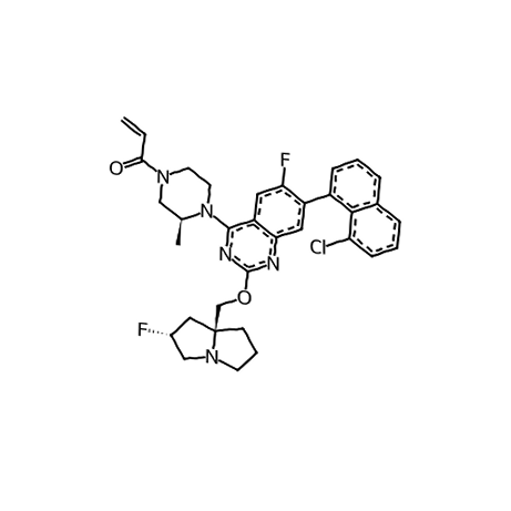 C=CC(=O)N1CCN(c2nc(OC[C@@]34CCCN3C[C@H](F)C4)nc3cc(-c4cccc5cccc(Cl)c45)c(F)cc23)[C@@H](C)C1